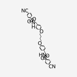 N#Cc1ccc(S(=O)(=O)NCc2ccc(OCCCCOc3ccc(CNS(=O)(=O)c4ccc(C#N)cc4)cc3)cc2)cc1